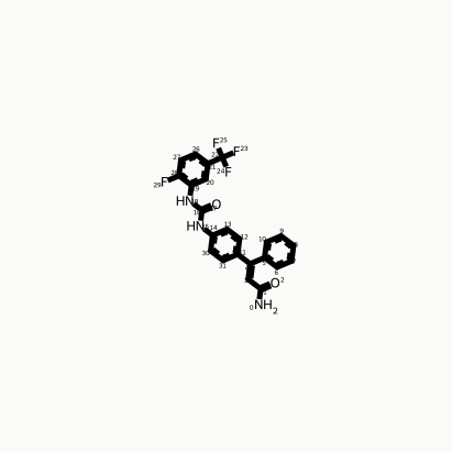 NC(=O)/C=C(\c1ccccc1)c1ccc(NC(=O)Nc2cc(C(F)(F)F)ccc2F)cc1